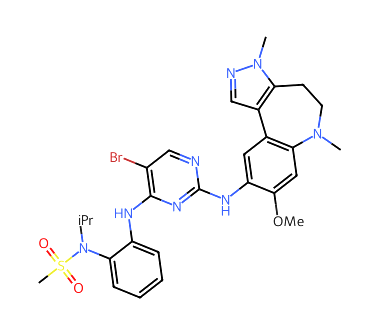 COc1cc2c(cc1Nc1ncc(Br)c(Nc3ccccc3N(C(C)C)S(C)(=O)=O)n1)-c1cnn(C)c1CCN2C